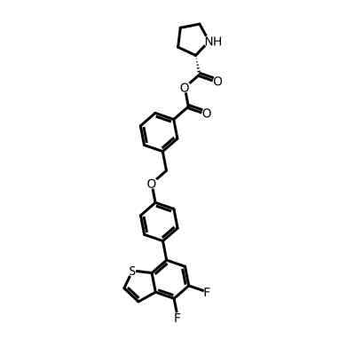 O=C(OC(=O)[C@@H]1CCCN1)c1cccc(COc2ccc(-c3cc(F)c(F)c4ccsc34)cc2)c1